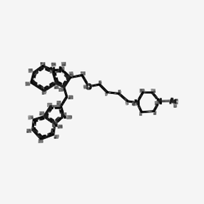 CC(=O)N1CCN(CCCCOCc2nn3ccccc3c2Cc2cc3ccccn3n2)CC1